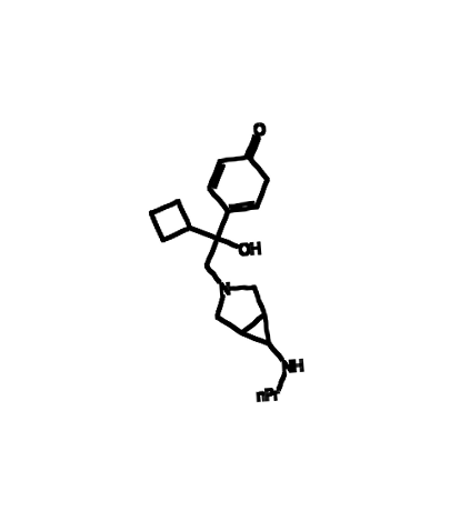 CCCNC1C2CN(CC(O)(C3=CCC(=O)C=C3)C3CCC3)CC21